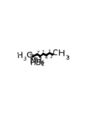 Br.CCCCCCCC(C)N